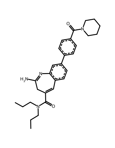 CCCN(CCC)C(=O)C1=Cc2ccc(-c3ccc(C(=O)N4CCCCC4)cc3)cc2N=C(N)C1